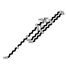 O=P(O)(O)OC=C(Cl)Cl.OCCCCCCOCCCCCCOCCCCCCO.OCCCCCCOCCCCCCOCCCCCCO.OCCCCCCOCCCCCCOCCCCCCO